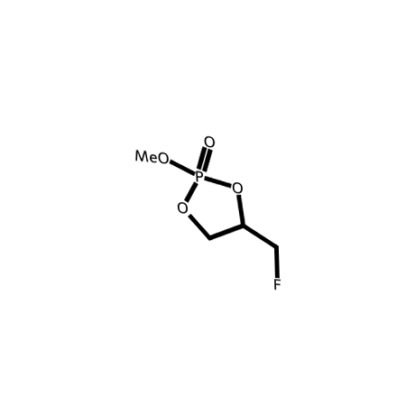 COP1(=O)OCC(CF)O1